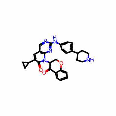 O=C1c2ccccc2OCC1n1c(=O)c(C2CC2)cc2cnc(Nc3ccc(C4CCNCC4)cc3)nc21